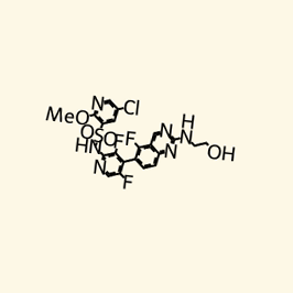 COc1ncc(Cl)cc1S(=O)(=O)Nc1ncc(F)c(-c2ccc3nc(NCCO)ncc3c2F)c1F